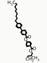 CCCCCCCCCc1ccc(-c2ccc(C(=O)Oc3ccc(C(=O)OCC(C)CC)cc3)cc2)cc1